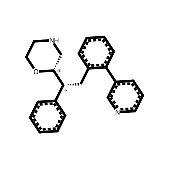 c1ccc([C@@H](Cc2ccccc2-c2cccnc2)[C@H]2CNCCO2)cc1